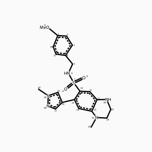 COc1ccc(CNS(=O)(=O)c2cc3c(cc2-c2cnn(C)c2)N(C)CCN3)cc1